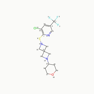 FC(F)(F)c1cnc(SN2CC3(C2)CN(C2CCOCC2)C3)c(Cl)c1